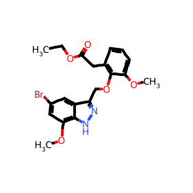 CCOC(=O)Cc1cccc(OC)c1OCc1n[nH]c2c(OC)cc(Br)cc12